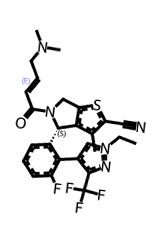 CCn1cc(-c2c(F)cccc2[C@H]2c3c(sc(C#N)c3C)CN2C(=O)/C=C/CN(C)C)c(C(F)(F)F)n1